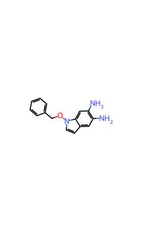 Nc1cc2ccn(OCc3ccccc3)c2cc1N